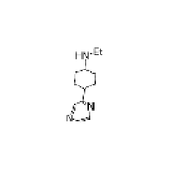 CCNC1CCC(c2cnccn2)CC1